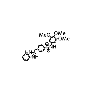 COc1cc(NS(=O)(=O)c2ccc(CC3(C)Nc4ccccc4N3)cc2)cc(OC)c1OC